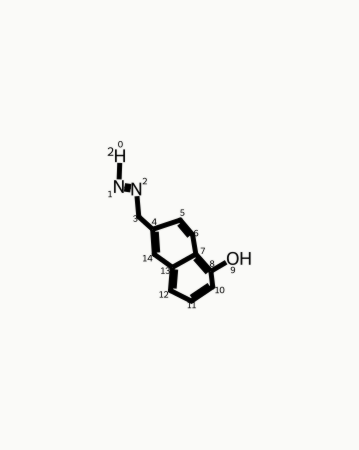 [2H]N=NCc1ccc2c(O)cccc2c1